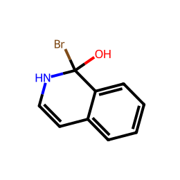 OC1(Br)NC=Cc2ccccc21